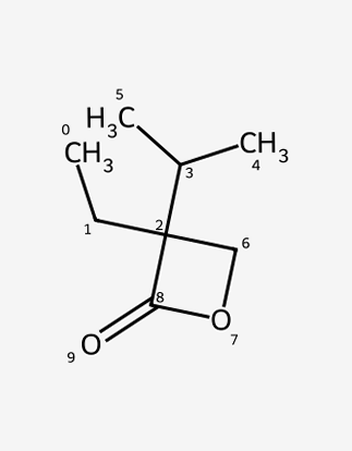 CCC1(C(C)C)COC1=O